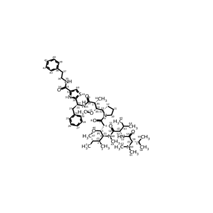 CC[C@H](C)[C@@H]([C@@H](CC(=O)N1CCC[C@H]1[C@H](OC)[C@@H](C)C(=O)N[C@@H](Cc1ccccc1)c1nc(C(=O)NCCc2cc[c]cc2)cs1)OC)N(C)C(=O)[C@@H](NC(=O)[C@H](C(C)C)N(C)C)C(C)C